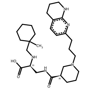 CC1(CN[C@@H](CNC(=O)[C@@H]2CCCN(CCCc3ccc4c(n3)NCCC4)C2)C(=O)O)CCCCC1